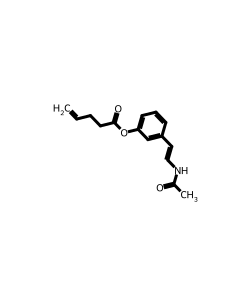 C=CCCC(=O)Oc1cccc(/C=C/NC(C)=O)c1